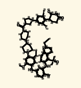 CCc1ccc2c(P(C)(C)=O)c(Nc3nc(Nc4cc(CC)c(N5CCC(N6CCN(C(=O)C7CCN(c8cc(F)c(C9CCC(=O)NC9=O)c(F)c8)C7)CC6)CC5)cc4OC)ncc3Br)ccc2n1